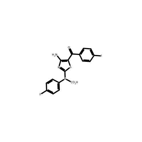 Nc1nc(N(C(=O)O)c2ccc(F)cc2)sc1C(=O)c1ccc(F)cc1